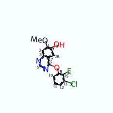 COc1cc2ncnc(Oc3cccc(Cl)c3F)c2cc1O